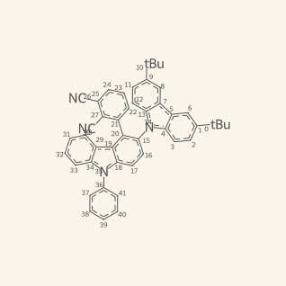 CC(C)(C)c1ccc2c(c1)c1cc(C(C)(C)C)ccc1n2-c1ccc2c(c1-c1cccc(C#N)c1C#N)c1ccccc1n2-c1ccccc1